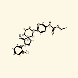 CCOC(=O)Nc1ccc(N2CCC[C@]3(CCN(c4ccccc4Cl)C3=O)C2)nc1